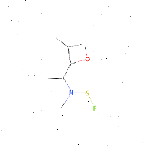 CC1COC1C(C)N(C)SF